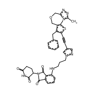 Cc1nnc2n1-c1sc(C#Cc3cnn(CCCNc4cccc5c4C(=O)N(C4CCC(=O)NC4=O)C5=O)c3)c(Cc3ccccc3)c1COC2